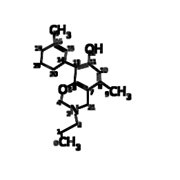 CCCN1COc2c(c(C)cc(O)c2C2C=C(C)CCC2)C1